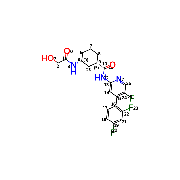 O=C(CO)N[C@@H]1CCC[C@H](C(=O)Nc2cc(-c3ccc(F)cc3F)c(F)cn2)C1